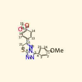 COc1ccc(-c2nnc3n2N=C(c2ccc4c(c2)OCO4)CS3)cc1